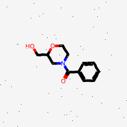 O=C(c1cc[c]cc1)N1CCOC(CO)C1